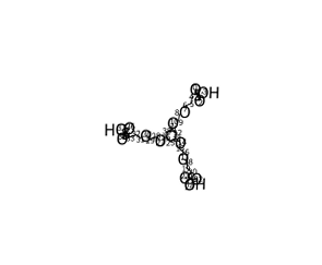 O=S(=O)(O)CCCOCCOc1cc(OCCOCCCS(=O)(=O)O)cc(OCCOCCCS(=O)(=O)O)c1